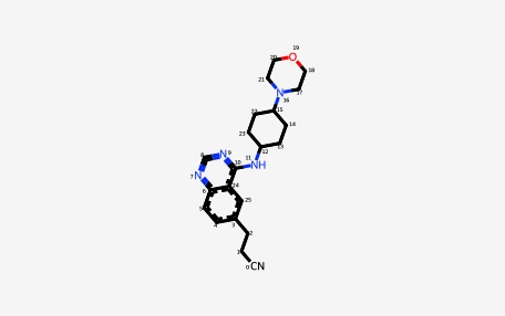 N#CCCc1ccc2ncnc(NC3CCC(N4CCOCC4)CC3)c2c1